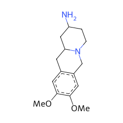 COc1cc2c(cc1OC)CN1CCC(N)CC1C2